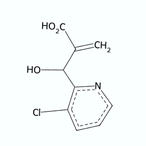 C=C(C(=O)O)C(O)c1ncccc1Cl